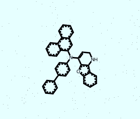 C1=C(N(c2ccc(-c3ccccc3)cc2)c2cc3ccccc3c3ccccc23)c2oc3ccccc3c2NC1